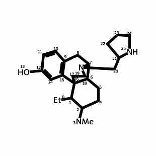 CCC1C(NC)CCC2C3Cc4ccc(O)cc4C12CCN3CC1CCCN1